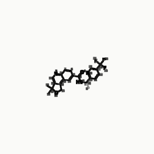 C[C@H](NC(=O)c1ccc2ncc3c(c2c1)COC3(C)C)c1ccc(C(F)(F)F)cn1